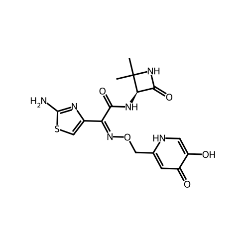 CC1(C)NC(=O)[C@H]1NC(=O)/C(=N\OCc1cc(=O)c(O)c[nH]1)c1csc(N)n1